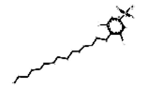 CCCCCCCCCCCCCCCc1c(Cl)cc(S(=O)(=O)O)cc1Cl